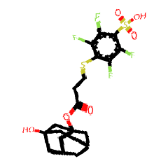 O=C(CCSc1c(F)c(F)c(S(=O)(=O)O)c(F)c1F)OC12CC3CC(CC(O)(C3)C1)C2